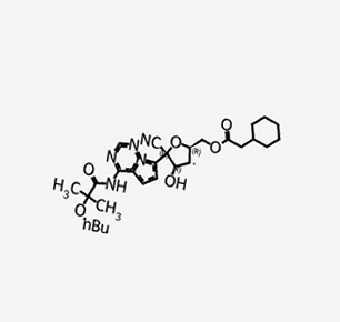 CCCCOC(C)(C)C(=O)Nc1ncnn2c([C@]3(C#N)O[C@@H](COC(=O)CC4CCCCC4)[CH][C@H]3O)ccc12